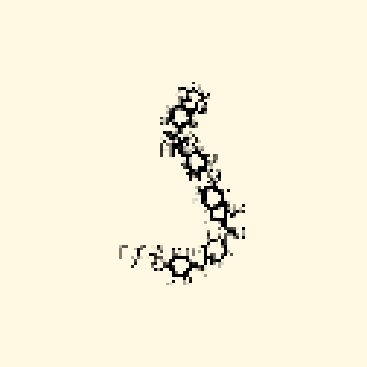 Cn1c(C(=O)N2CCN(Cc3ccc(OCC(F)(F)F)cc3)CC2)cc2ccc(Oc3ccc(NS(=O)(=O)c4ccc5c(c4)OCCO5)cn3)cc21